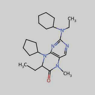 CCC1C(=O)N(C)c2cnc(N(CC)C3CCCCC3)nc2N1C1CCCC1